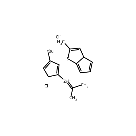 CC1=CC2C=CC=C2S1.C[C](C)=[Zr+2][C]1=CC(C(C)(C)C)=CC1.[Cl-].[Cl-]